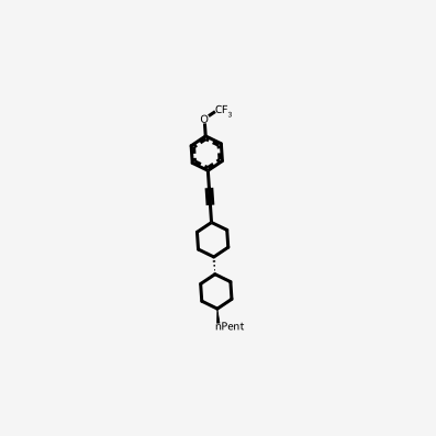 CCCCC[C@H]1CC[C@H](C2CCC(C#Cc3ccc(OC(F)(F)F)cc3)CC2)CC1